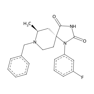 C[C@H]1C[C@]2(CCN1Cc1ccccc1)C(=O)NC(=O)N2c1cccc(F)c1